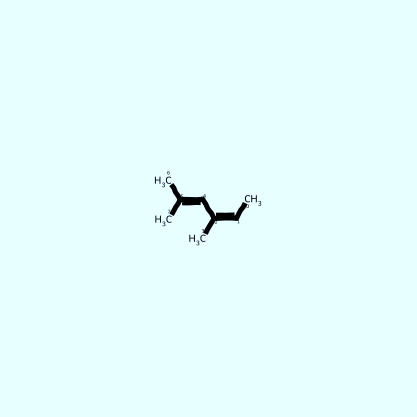 C/C=C(/C)C=C(C)C